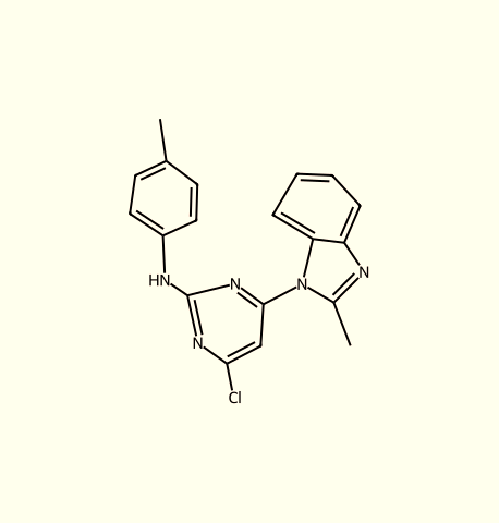 Cc1ccc(Nc2nc(Cl)cc(-n3c(C)nc4ccccc43)n2)cc1